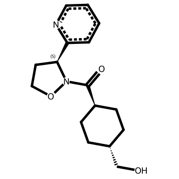 O=C([C@H]1CC[C@H](CO)CC1)N1OCC[C@H]1c1ccccn1